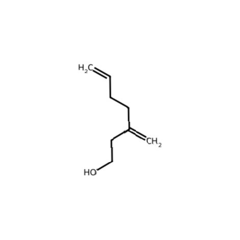 C=CCCC(=C)CCO